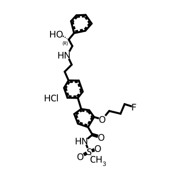 CS(=O)(=O)NC(=O)c1ccc(-c2ccc(CCNC[C@H](O)c3ccccc3)cc2)cc1OCCCF.Cl